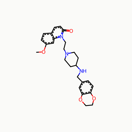 COc1ccc2ccc(=O)n(CCN3CCC(NCc4ccc5c(c4)OCCO5)CC3)c2c1